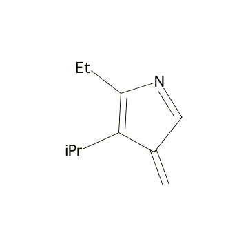 C=C1C=NC(CC)=C1C(C)C